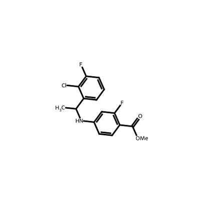 COC(=O)c1ccc(NC(C)c2cccc(F)c2Cl)cc1F